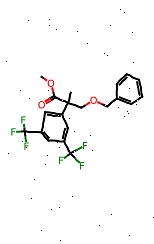 COC(=O)C(C)(COCc1ccccc1)c1cc(C(F)(F)F)cc(C(F)(F)F)c1